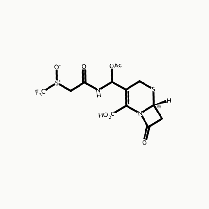 CC(=O)OC(NC(=O)C[S+]([O-])C(F)(F)F)C1=C(C(=O)O)N2C(=O)C[C@H]2SC1